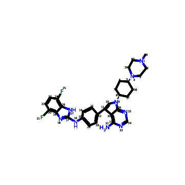 CN1CCN([C@H]2CC[C@@H](n3cc(-c4ccc(Nc5nc6c(F)ccc(F)c6[nH]5)cc4)c4c(N)ncnc43)CC2)CC1